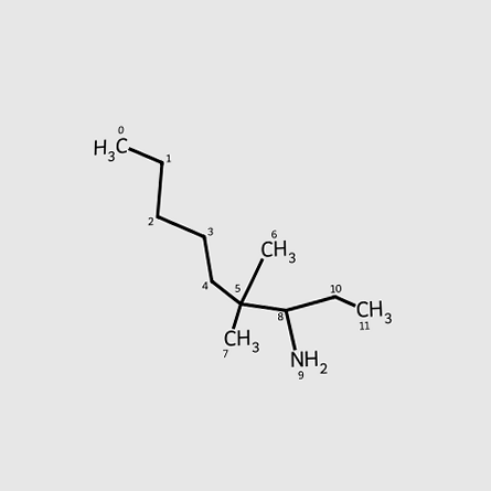 CCCCCC(C)(C)C(N)CC